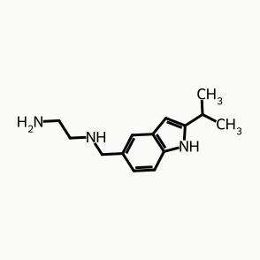 CC(C)c1cc2cc(CNCCN)ccc2[nH]1